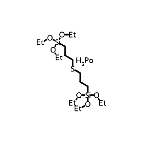 CCO[Si](CCCSCCC[Si](OCC)(OCC)OCC)(OCC)OCC.[PoH2]